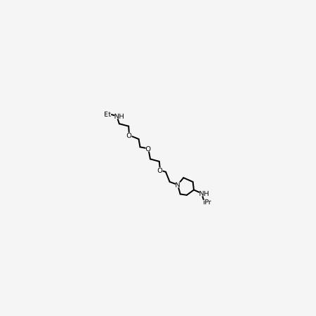 CCNCCOCCOCCOCCN1CCC(NC(C)C)CC1